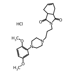 COc1ccc(OC)c(N2CCN(CCCN3C(=O)C4CC=CCC4C3=O)CC2)c1.Cl